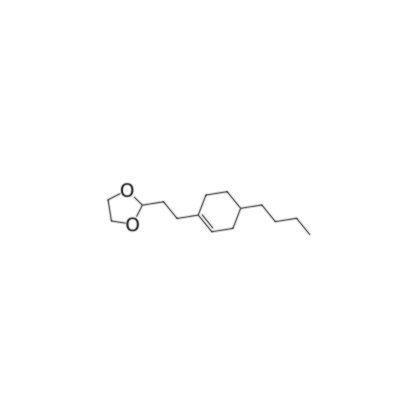 CCCCC1CC=C(CCC2OCCO2)CC1